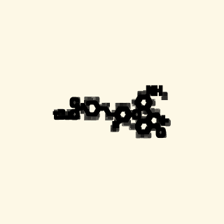 Cn1cc(-c2cc(N)ccc2Oc2ccc(CCC3CCN(C(=O)OC(C)(C)C)CC3)c(F)c2)c2ccccc2c1=O